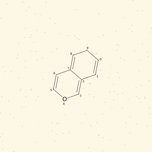 C1=CC2=COC=CC2=CC1